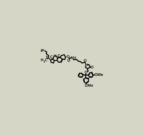 COc1ccc(C(OCC2CN(C(=O)CCCCCNC(=O)O[C@H]3CC[C@@]4(C)C(=CCC5C4CC[C@@]4(C)C5CC[C@@H]4C(C)CCCC(C)C)C3)CC2=O)(c2ccccc2)c2ccc(OC)cc2)cc1